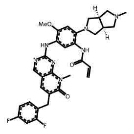 C=CC(=O)Nc1cc(Nc2ncc3cc(Cc4ccc(F)cc4F)c(=O)n(C)c3n2)c(OC)cc1N1C[C@H]2CN(C)C[C@H]2C1